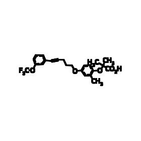 Cc1cc(OCCCC#Cc2cccc(OC(F)(F)F)c2)ccc1OC(C)(C)C(=O)O